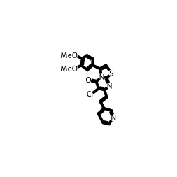 COc1ccc(-c2csc3nc(/C=C/c4cccnc4)c(Cl)c(=O)n23)cc1OC